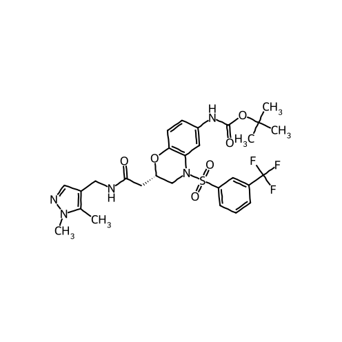 Cc1c(CNC(=O)C[C@H]2CN(S(=O)(=O)c3cccc(C(F)(F)F)c3)c3cc(NC(=O)OC(C)(C)C)ccc3O2)cnn1C